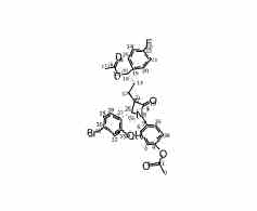 CC(=O)Oc1ccc(N2C(=O)[C@H](CC[C@H](OC(C)=O)c3ccc(F)cc3)[C@H]2c2ccc(Br)cc2O)cc1